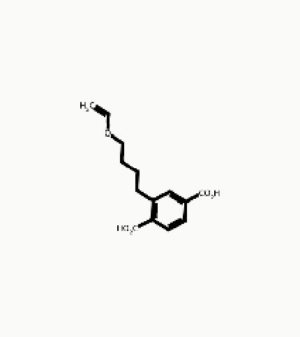 C=COCCCCc1cc(C(=O)O)ccc1C(=O)O